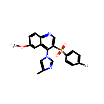 CCc1ccc(S(=O)(=O)c2cnc3ccc(OC(F)(F)F)cc3c2-n2cnc(C)c2)cc1